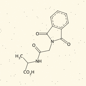 CC(NC(=O)CN1C(=O)c2ccccc2C1=O)C(=O)O